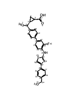 O=C(O)C1C[C@@H]1C(O)c1ccc(-c2ccc(Nc3nc(-c4ccc(CO)cc4)cs3)c(F)c2)cc1